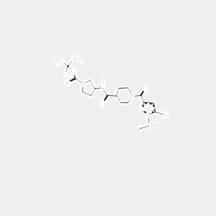 CC(C)(C)OC(=O)N1CCC(NC(=O)C2CCN(C(=O)c3cc(Br)n(PI)n3)CC2)C1